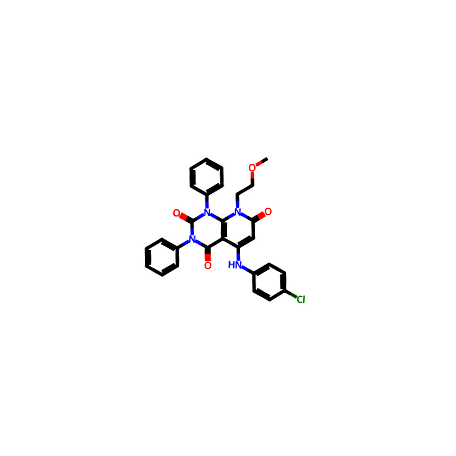 COCCn1c(=O)cc(Nc2ccc(Cl)cc2)c2c(=O)n(-c3ccccc3)c(=O)n(-c3ccccc3)c21